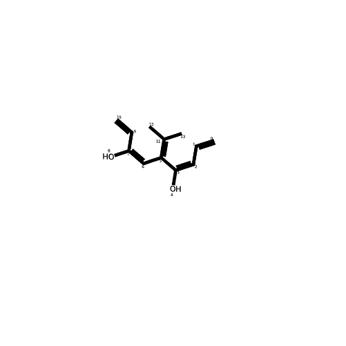 C=C/C=C(/O)C(/C=C(/O)C=C)=C(C)C